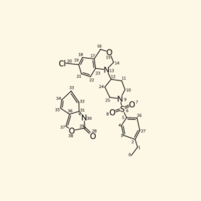 CCc1ccc(S(=O)(=O)N2CCC(N3COCc4cc(Cl)ccc43)CC2)cc1.O=c1nc2ccccc2co1